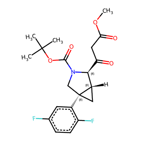 COC(=O)CC(=O)[C@H]1[C@@H]2C[C@@]2(c2cc(F)ccc2F)CN1C(=O)OC(C)(C)C